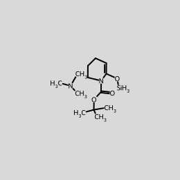 CC(C)(C)OC(=O)N1CCCC=C1O[SiH3].CN(C)C